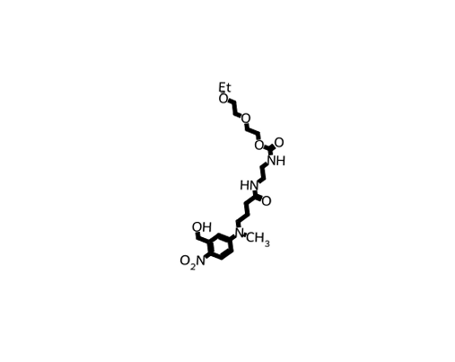 CCOCCOCCOC(=O)NCCNC(=O)CCCN(C)c1ccc([N+](=O)[O-])c(CO)c1